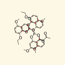 CCOc1ccc(OC)cc1OP(Oc1cc(OC)ccc1OCC)Oc1ccccc1C(=O)c1ccccc1OP(Oc1cc(OC)ccc1C(C)=O)Oc1cc(OC)ccc1C(C)=O